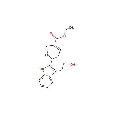 CCOC(=O)C1=CCC(c2[nH]c3ccccc3c2CCO)NC1